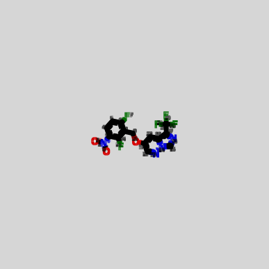 O=[N+]([O-])c1ccc(F)c(COc2cnn3cnc(C(F)(F)F)c3c2)c1F